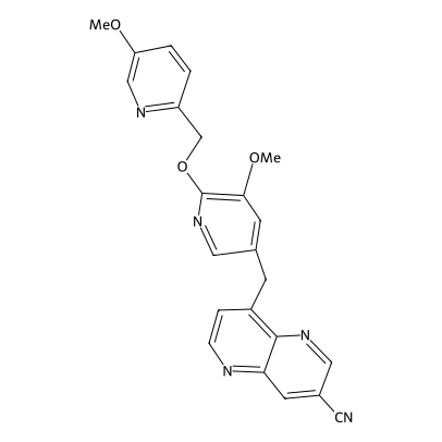 COc1ccc(COc2ncc(Cc3ccnc4cc(C#N)cnc34)cc2OC)nc1